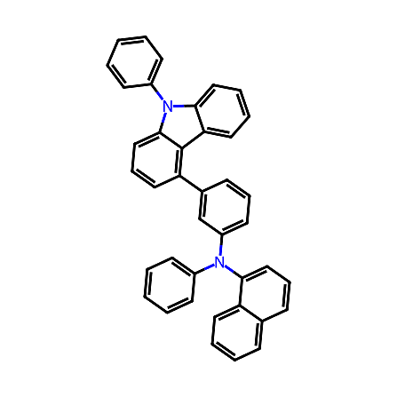 c1ccc(N(c2cccc(-c3cccc4c3c3ccccc3n4-c3ccccc3)c2)c2cccc3ccccc23)cc1